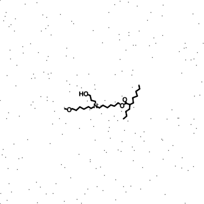 CCCCCCC(CCCC)C(=O)OCCCCCCN(CCCO)CCCCCCOC